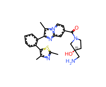 Cc1nc(C)c(-c2ccccc2-c2nc3cc(C(=O)N4CC[C@](O)(CN)C4)ccn3c2C)s1